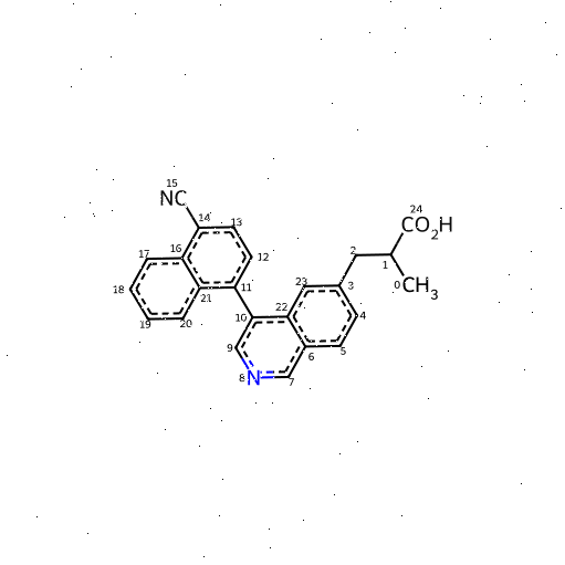 CC(Cc1ccc2cncc(-c3ccc(C#N)c4ccccc34)c2c1)C(=O)O